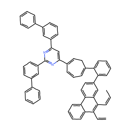 C=Cc1c(/C=C\C)c2cc(-c3ccccc3C3=CC=CC(c4cc(-c5cccc(-c6ccccc6)c5)nc(-c5cccc(-c6ccccc6)c5)n4)=CC3)ccc2c2ccccc12